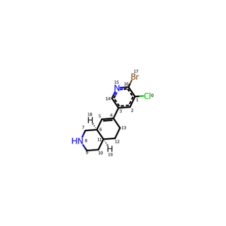 Clc1cc(C2=C[C@@H]3CNCC[C@@H]3CC2)cnc1Br